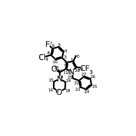 Cc1c(-c2ccc(F)c(Cl)c2)c(C(=O)N2CCOCC2)n(Cc2ccccc2)c1C(F)(F)F